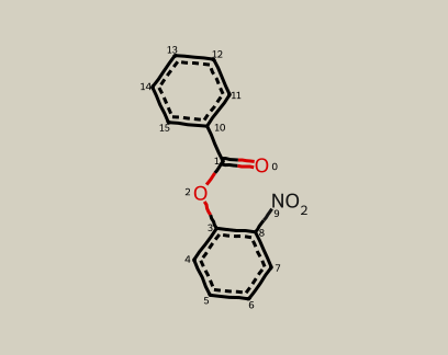 O=C(Oc1ccccc1[N+](=O)[O-])c1ccccc1